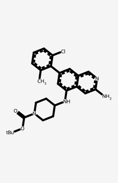 Cc1cccc(Cl)c1-c1cc(NC2CCN(C(=O)OC(C)(C)C)CC2)c2cc(N)ncc2c1